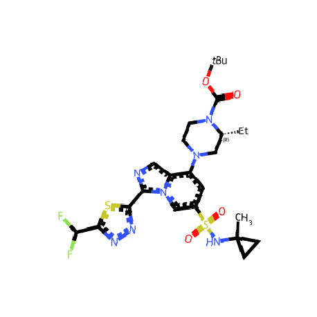 CC[C@@H]1CN(c2cc(S(=O)(=O)NC3(C)CC3)cn3c(-c4nnc(C(F)F)s4)ncc23)CCN1C(=O)OC(C)(C)C